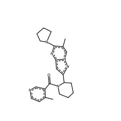 Cc1ccncc1C(=O)N1CCCCC1c1cc2nc(N3CCCC3)c(C)cn2n1